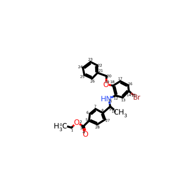 CCOC(=O)c1ccc(C(C)Nc2cc(Br)ccc2OCc2ccccc2)cc1